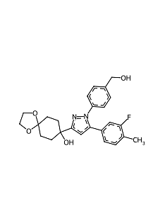 Cc1ccc(-c2cc(C3(O)CCC4(CC3)OCCO4)nn2-c2ccc(CO)cc2)cc1F